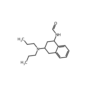 CCCN(CCC)C1Cc2ccccc2C(NC=O)C1